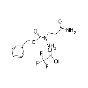 NC(=O)CCN(N)C(=O)OCc1ccccc1.O=C(O)C(F)(F)F